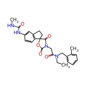 CCN(Cc1ccccc1C)C(=O)CN1C(=O)OC2(CCc3cc(NC(=O)NC)ccc32)C1=O